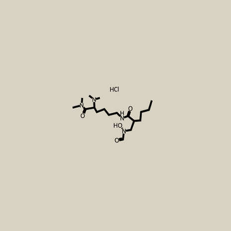 CCCCC(CN(O)C=O)C(=O)NCCCCC(C(=O)N(C)C)N(C)C.Cl